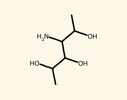 [CH2]C(O)C(O)C(N)C(C)O